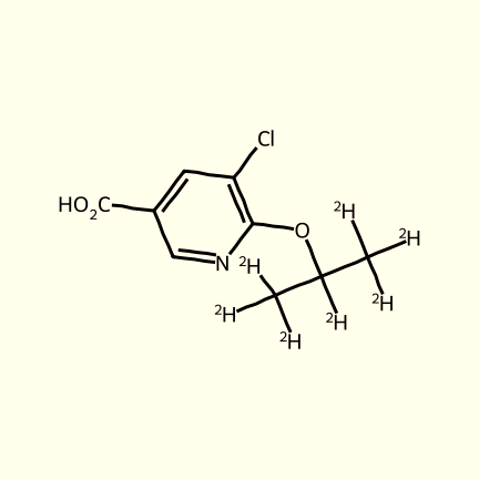 [2H]C([2H])([2H])C([2H])(Oc1ncc(C(=O)O)cc1Cl)C([2H])([2H])[2H]